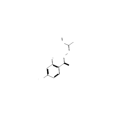 CCCCCCCCOC(CC)OOC(=O)c1ccc(O)cc1CCC